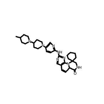 CC1CCN(C2CCN(c3ccc(Nc4ncc5c(n4)N4C(C=C5)C(=O)NCC45CCCCC5)nc3)CC2)CC1